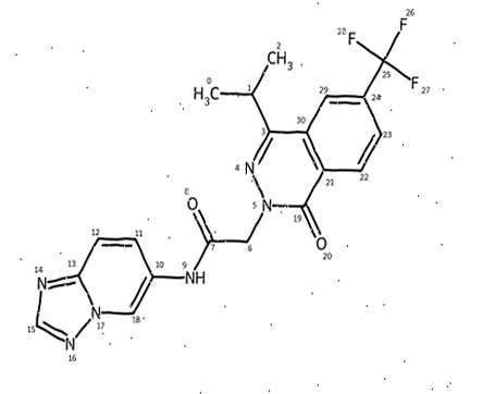 CC(C)c1nn(CC(=O)Nc2ccc3ncnn3c2)c(=O)c2ccc(C(F)(F)F)cc12